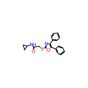 O=C(CSc1nc(-c2ccccc2)c(-c2ccccc2)o1)NC1CC1